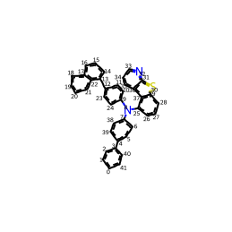 c1ccc(-c2ccc(N(c3ccc(-c4cccc5ccccc45)cc3)c3cccc4sc5ncccc5c34)cc2)cc1